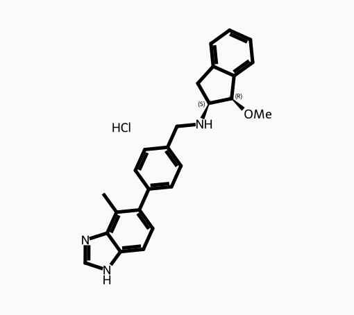 CO[C@@H]1c2ccccc2C[C@@H]1NCc1ccc(-c2ccc3[nH]cnc3c2C)cc1.Cl